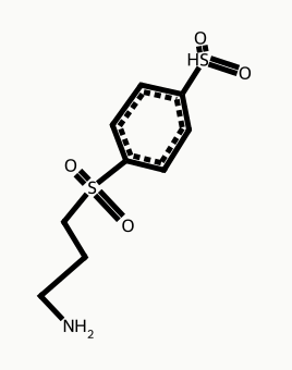 NCCCS(=O)(=O)c1ccc([SH](=O)=O)cc1